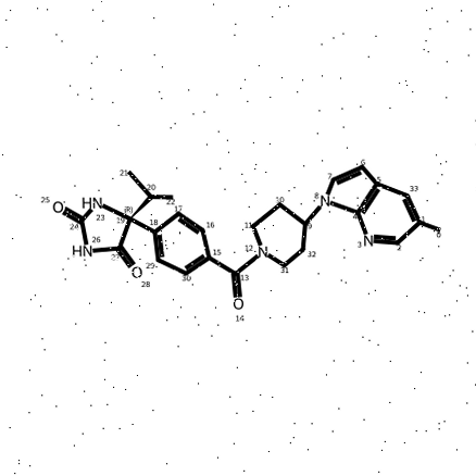 Cc1cnc2c(ccn2C2CCN(C(=O)c3ccc([C@@]4(C(C)C)NC(=O)NC4=O)cc3)CC2)c1